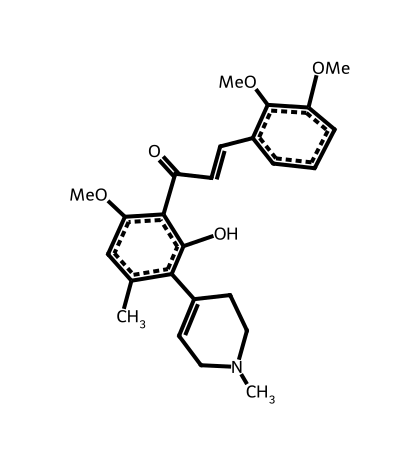 COc1cccc(/C=C/C(=O)c2c(OC)cc(C)c(C3=CCN(C)CC3)c2O)c1OC